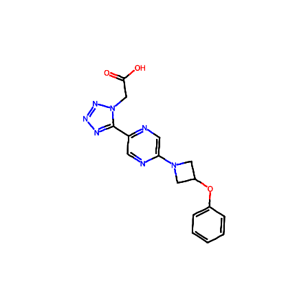 O=C(O)Cn1nnnc1-c1cnc(N2CC(Oc3ccccc3)C2)cn1